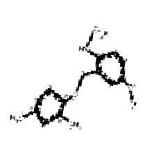 CCOC(=O)Nc1ccc(OCC)cc1COc1ccc(C)cc1C